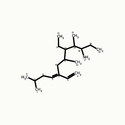 C=C/C(=C/CC(C)C)CC(C)C(CC)C(C)C(N)CC